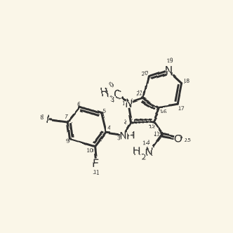 Cn1c(Nc2ccc(I)cc2F)c(C(N)=O)c2ccncc21